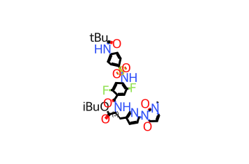 CC(C)COC(=O)[C@H](Cc1ccc(-n2c(=O)ccn(C)c2=O)nc1)NC(=O)c1cc(F)c(NS(=O)(=O)c2ccc(NC(=O)C(C)(C)C)cc2)cc1F